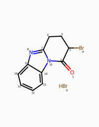 Br.O=C1C(Br)CCc2nc3ccccc3n21